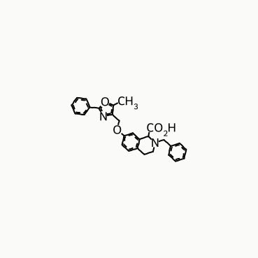 Cc1oc(-c2ccccc2)nc1COc1ccc2c(c1)C(C(=O)O)N(Cc1ccccc1)CC2